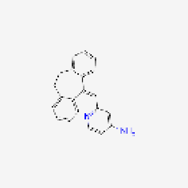 Nc1ccnc(C=C2c3ccccc3CCc3ccccc32)c1